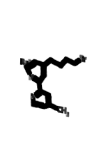 Cc1ccnc(-c2cc(CCCCBr)ccn2)c1.[Ru+2]